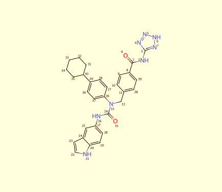 O=C(Nc1nn[nH]n1)c1ccc(CN(C(=O)Nc2ccc3[nH]ccc3c2)c2ccc(C3CCCCC3)cc2)cc1